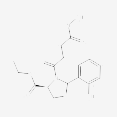 CCOC(=O)[C@@H]1CSC(c2ccccc2O)N1C(=O)CCC(=O)NO